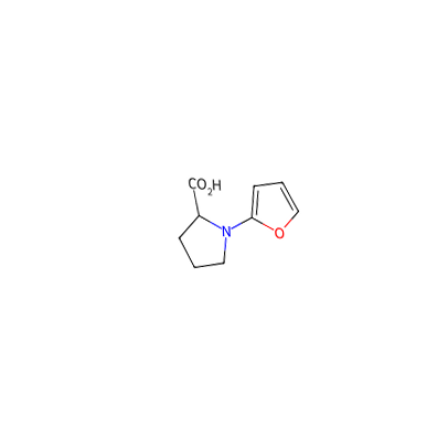 O=C(O)C1CCCN1c1ccco1